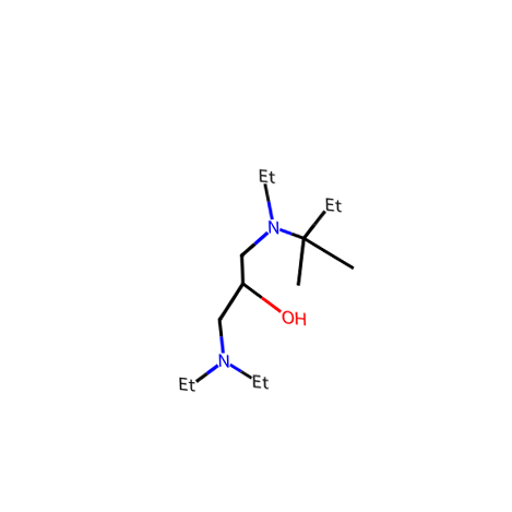 CCN(CC)CC(O)CN(CC)C(C)(C)CC